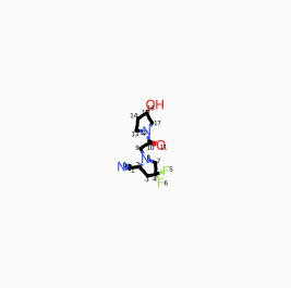 N#CC1CC(F)(F)CN1CC(=O)N1CCC(O)C1